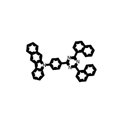 c1ccc2cc3c(cc2c1)c1ccccc1n3-c1ccc(-c2nc(-c3cccc4ccccc34)nc(-c3cccc4ccccc34)n2)cc1